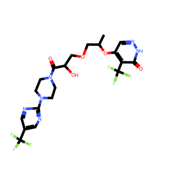 CC(COCC(O)C(=O)N1CCN(c2ncc(C(F)(F)F)cn2)CC1)Oc1cn[nH]c(=O)c1C(F)(F)F